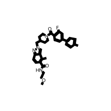 COCCNC(=O)c1ccc2nn(CC3CCN(C(=O)c4ccc(-c5ccc(C)cc5)cc4F)CC3)cc2c1C